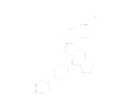 COc1ccc(-c2c(C)nn3c(N4CCN(c5ccccc5)CC4)c4c(nc23)CCC4)c(C)c1